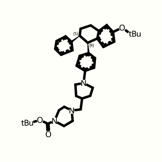 CC(C)(C)OC(=O)N1CCN(CC2CCN(c3ccc([C@@H]4c5ccc(OC(C)(C)C)cc5CC[C@@H]4c4ccccc4)cc3)CC2)CC1